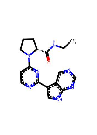 O=C(NCC(F)(F)F)[C@H]1CCCN1c1ccnc(-c2c[nH]c3ncncc23)n1